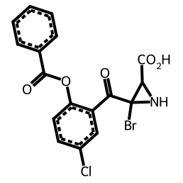 O=C(Oc1ccc(Cl)cc1C(=O)C1(Br)NC1C(=O)O)c1ccccc1